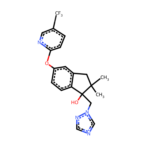 CC1(C)Cc2cc(Oc3ccc(C(F)(F)F)cn3)ccc2C1(O)Cn1cncn1